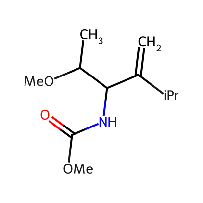 C=C(C(C)C)C(NC(=O)OC)C(C)OC